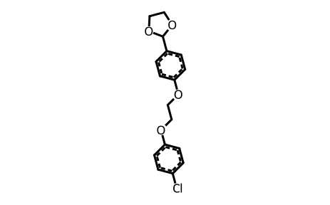 Clc1ccc(OCCOc2ccc(C3OCCO3)cc2)cc1